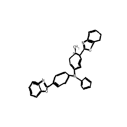 C[C@@H]1CC=C(N(c2ccccc2)C2C=CC(c3nc4ccccc4o3)=CC2)C=CC1c1nc2c(o1)CCC=C2